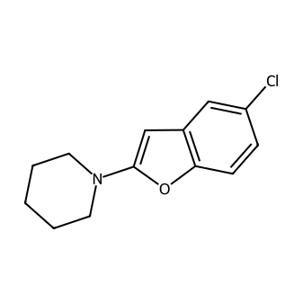 Clc1ccc2oc(N3CCCCC3)cc2c1